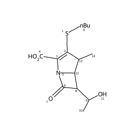 CCCCSC1=C(C(=O)O)N2C(=O)C(C(C)O)C2C1C